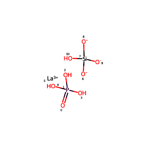 O=P(O)(O)O.[La+3].[O-][Si]([O-])([O-])O